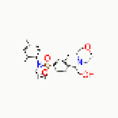 Cc1ccc(N(CC(C)C)S(=O)(=O)c2ccc(C(CO)N3CCOCC3)c(C)c2)c(C)c1